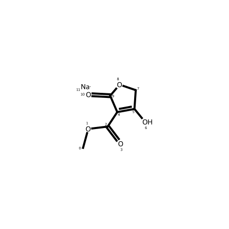 COC(=O)C1=C(O)COC1=O.[Na]